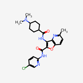 Cc1ccc2oc(C(=O)Nc3ccc(Cl)cn3)c(NC(=O)C3CCC(N(C)C)CC3)c2n1